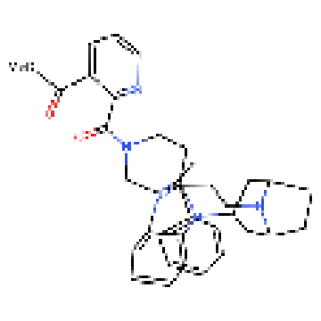 COC(=O)c1cccnc1C(=O)N1CCC(CCN2C3CCC2CC(n2c(C)nc4ccccc42)C3)(c2ccccc2)CC1